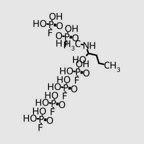 CCCC(O)NC.O=P(O)(O)F.O=P(O)(O)F.O=P(O)(O)F.O=P(O)(O)F.O=P(O)(O)F.O=P(O)(O)F